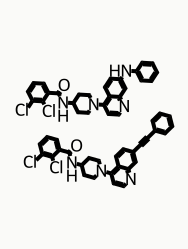 O=C(NC1CCN(c2ccnc3cc(C#Cc4ccccc4)ccc23)CC1)c1cccc(Cl)c1Cl.O=C(NC1CCN(c2ccnc3cc(Nc4ccccc4)ccc23)CC1)c1cccc(Cl)c1Cl